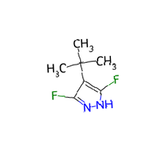 CC(C)(C)c1c(F)n[nH]c1F